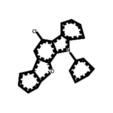 Clc1cc2c3ccccc3oc2c2c1c1ccccc1n2-c1ccccc1